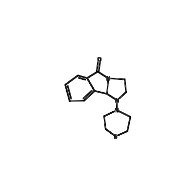 O=C1c2ccccc2C2N1CCN2N1CCSCC1